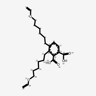 C=COCCCCCCc1ccc(C(=O)O)c(C(=O)O)c1CCCCCCOC=C